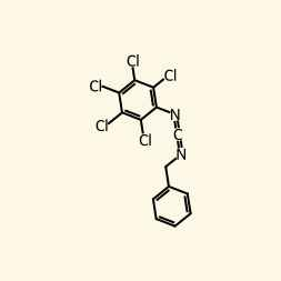 Clc1c(Cl)c(Cl)c(N=C=NCc2ccccc2)c(Cl)c1Cl